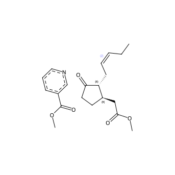 CC/C=C\C[C@H]1C(=O)CC[C@@H]1CC(=O)OC.COC(=O)c1cccnc1